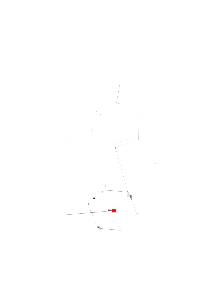 Cc1cc(C)c(N2C3CCC(CC3)N(C)[C@@H]2C)c(C)n1